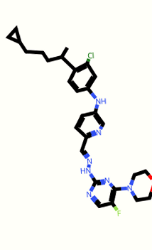 CC(CCCC1CC1)c1ccc(Nc2ccc(/C=N/Nc3ncc(F)c(N4CCOCC4)n3)nc2)cc1Cl